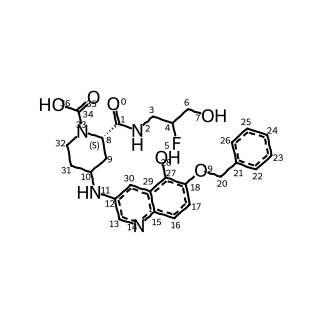 O=C(NCC(F)CO)[C@@H]1CC(Nc2cnc3ccc(OCc4ccccc4)c(O)c3c2)CCN1C(=O)O